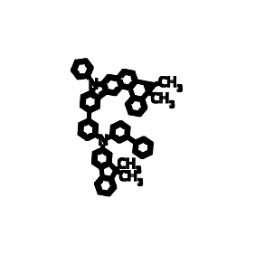 CC1C2c3ccc4cc5c(cc4c3-c3ccccc3C12C)c1cc(-c2cccc(N(c3cccc(-c4ccccc4)c3)c3ccc4c(c3)C(C)(C)c3ccccc3-4)c2)ccc1n5-c1ccccc1